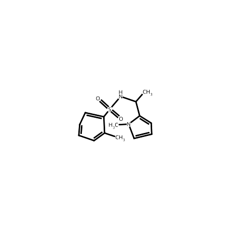 Cc1ccccc1S(=O)(=O)NC(C)c1cccn1C